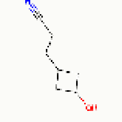 N#CCCC1CC(O)C1